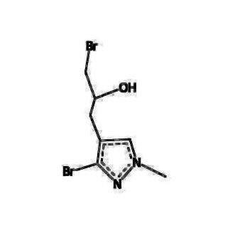 Cn1cc(CC(O)CBr)c(Br)n1